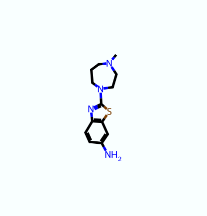 CN1CCCN(c2nc3ccc(N)cc3s2)CC1